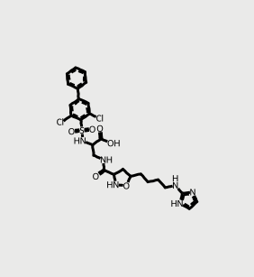 O=C(O)C(CNC(=O)C1CC(CCCCNc2ncc[nH]2)ON1)NS(=O)(=O)c1c(Cl)cc(-c2ccccc2)cc1Cl